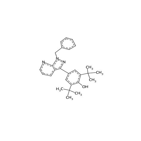 CC(C)(C)c1cc(-c2nn(Cc3ccccc3)c3ncccc23)cc(C(C)(C)C)c1O